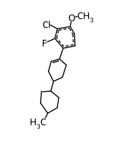 COc1ccc(C2=CCC(C3CCC(C)CC3)CC2)c(F)c1Cl